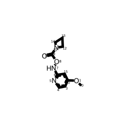 COc1ccnc(NOC(=O)N2CCC2)c1